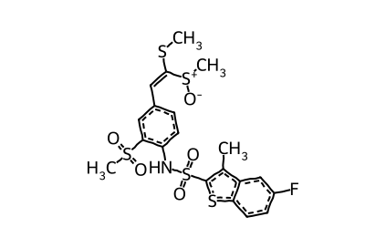 CSC(=Cc1ccc(NS(=O)(=O)c2sc3ccc(F)cc3c2C)c(S(C)(=O)=O)c1)[S+](C)[O-]